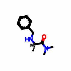 C[C@H](NCc1ccccc1)C(=O)N(C)C